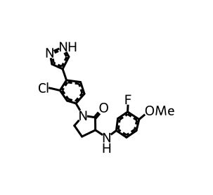 COc1ccc(NC2CCN(c3ccc(-c4cn[nH]c4)c(Cl)c3)C2=O)cc1F